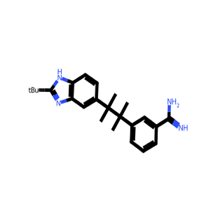 CC(C)(C)c1nc2cc(C(C)(C)C(C)(C)c3cccc(C(=N)N)c3)ccc2[nH]1